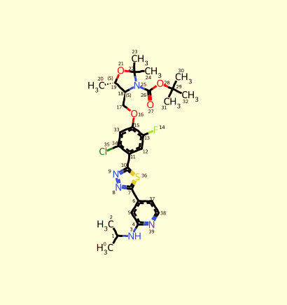 CC(C)Nc1cc(-c2nnc(-c3cc(F)c(OC[C@H]4[C@H](C)OC(C)(C)N4C(=O)OC(C)(C)C)cc3Cl)s2)ccn1